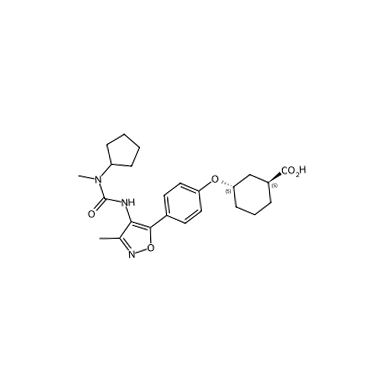 Cc1noc(-c2ccc(O[C@H]3CCC[C@H](C(=O)O)C3)cc2)c1NC(=O)N(C)C1CCCC1